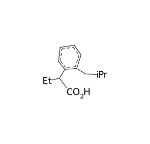 CCC(C(=O)O)c1ccccc1CC(C)C